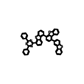 c1ccc(-c2nc(-c3ccccc3)nc(-c3cccc4c3sc3cccc(-c5ccc(-c6ccc7sc8ccccc8c7c6)c6c5oc5ccccc56)c34)n2)cc1